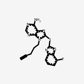 C#CCCCn1c(Sc2nc3cccc(F)c3s2)nc2c(N)ncnc21